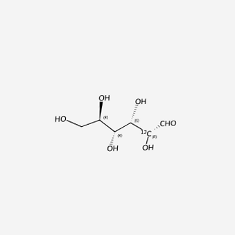 O=[13CH][13C@H](O)[C@@H](O)[C@H](O)[C@H](O)CO